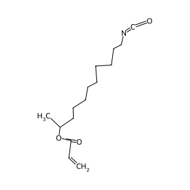 C=CC(=O)OC(C)CCCCCCCCCN=C=O